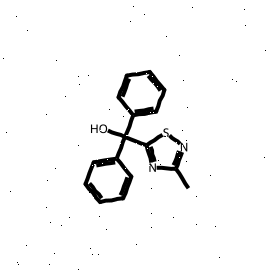 Cc1nsc(C(O)(c2ccccc2)c2ccccc2)n1